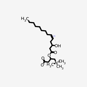 CCCCCCCC/C=C\CC(O)CC(=O)OC(CC(=O)[O-])C[N+](C)(C)C